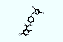 CCc1cc(CC)n(C[C@H]2CC[C@H](NC(=O)c3cc(Cl)cnc3C)CC2)n1